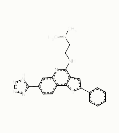 CN(C)CCNc1nc2cc(-c3nnn[nH]3)ccc2c2sc(-c3ccccc3)cc12